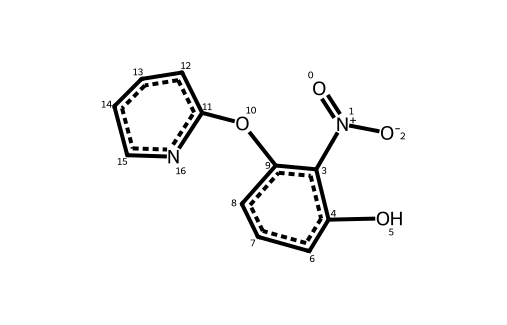 O=[N+]([O-])c1c(O)cccc1Oc1ccccn1